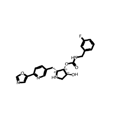 O=C(NCc1cccc(F)c1)O[C@@H]1[C@@H](O)CN[C@@H]1Cc1ccc(-c2cnco2)nc1